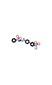 CN(C[C@@H]1CN(c2ccccc2)C(=O)O1)[C@H]1CC[C@H](c2ccc3[nH]c(=O)oc3c2)CC1